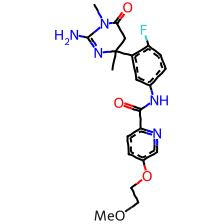 COCCOc1ccc(C(=O)Nc2ccc(F)c(C3(C)CC(=O)N(C)C(N)=N3)c2)nc1